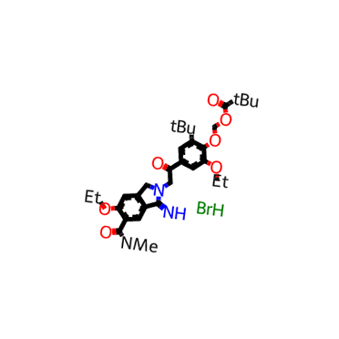 Br.CCOc1cc2c(cc1C(=O)NC)C(=N)N(CC(=O)c1cc(OCC)c(OCOC(=O)C(C)(C)C)c(C(C)(C)C)c1)C2